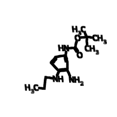 CCCNc1ccc(NC(=O)OC(C)(C)C)cc1N